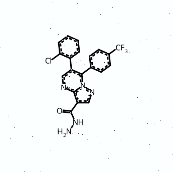 NNC(=O)c1cnn2c(-c3ccc(C(F)(F)F)cc3)c(-c3ccccc3Cl)cnc12